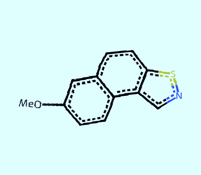 COc1ccc2c(ccc3sncc32)c1